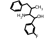 CC(Cc1ccccc1)C(N)C(O)c1cccc(F)c1